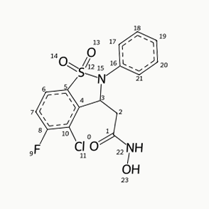 O=C(CC1c2c(ccc(F)c2Cl)S(=O)(=O)N1c1ccccc1)NO